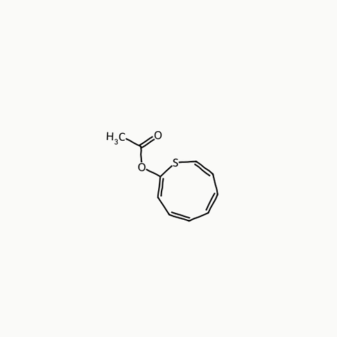 CC(=O)Oc1cccccccs1